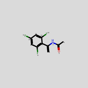 C=C(NC(C)=O)c1c(F)cc(F)cc1F